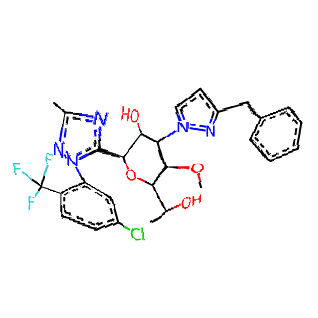 CO[C@H]1C(C(C)O)O[C@@H](c2nc(C)nn2-c2cc(Cl)ccc2C(F)(F)F)C(O)C1n1ccc(Cc2ccccc2)n1